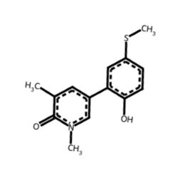 CSc1ccc(O)c(-c2cc(C)c(=O)n(C)c2)c1